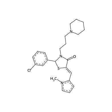 Cn1cccc1C=C1SC(c2cccc(Cl)c2)N(CCCN2CCCCC2)C1=O